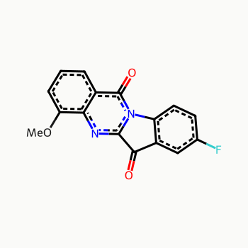 COc1cccc2c(=O)n3c(nc12)C(=O)c1cc(F)ccc1-3